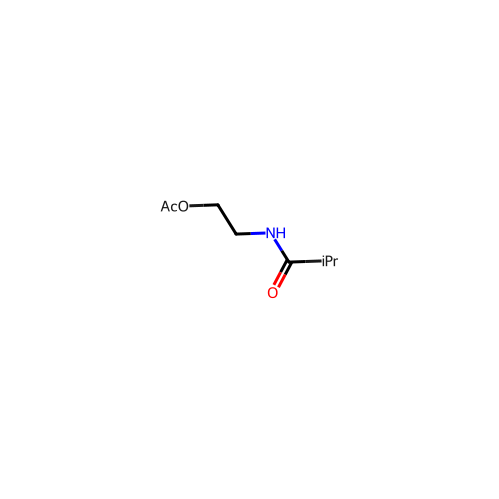 CC(=O)OCCNC(=O)C(C)C